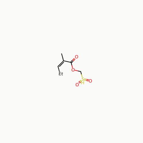 CCC=C(C)C(=O)OC[SH](=O)=O